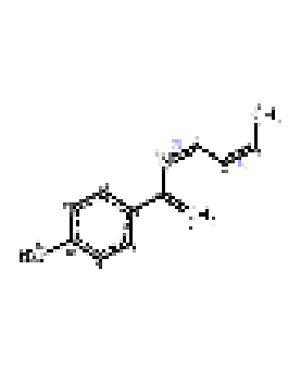 C=C(/N=C\C=C/C)c1ccc(C(C)(C)C)cc1